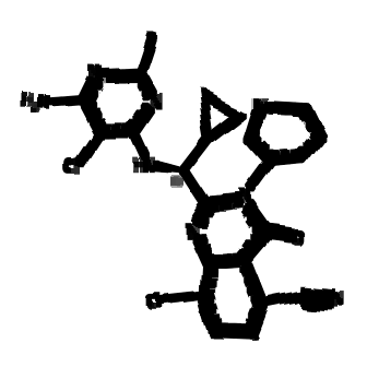 Cc1nc(N)c(Cl)c(N[C@H](c2nc3c(Cl)ccc(C#N)c3c(=O)n2-c2cccnc2)C2CC2)n1